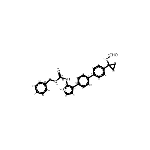 O=COC1(c2ccc(-c3ccc(-c4ccsc4NC(=O)OCc4ccccc4)cc3)cc2)CC1